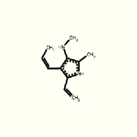 C=Cc1[nH]c(C)c(NC)c1/C=C\C